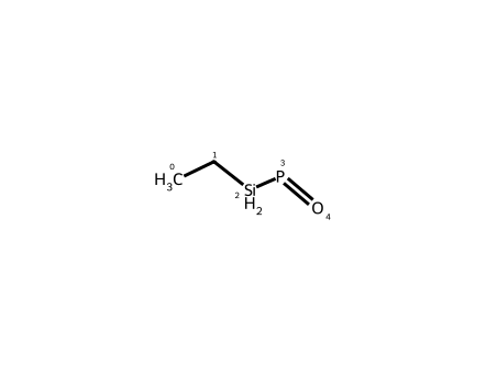 CC[SiH2]P=O